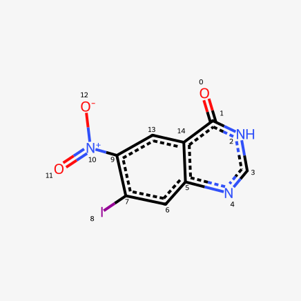 O=c1[nH]cnc2cc(I)c([N+](=O)[O-])cc12